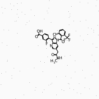 CNC(=O)Cc1cnc2c(-c3ccc(C(=O)O)cc3F)nn(C(=O)c3c(Cl)cccc3C(F)(F)F)c2c1